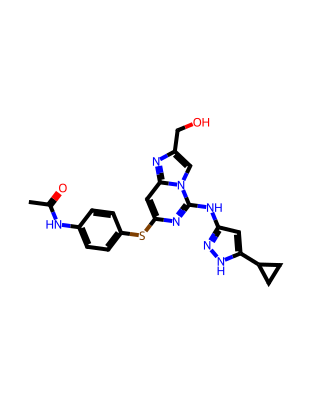 CC(=O)Nc1ccc(Sc2cc3nc(CO)cn3c(Nc3cc(C4CC4)[nH]n3)n2)cc1